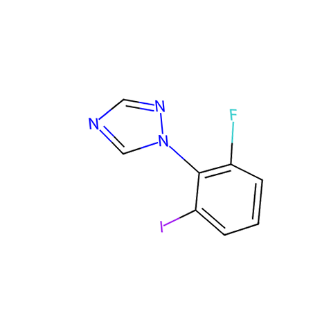 Fc1cccc(I)c1-n1cncn1